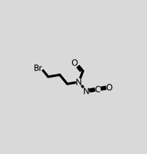 O=C=NN(C=O)CCCBr